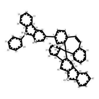 C1=Cc2ccc(-c3cnc4c(c3)c3ccccc3n4-c3ccccc3)cc2C2(c3ccccc31)c1ccccc1-c1cc3oc4ccccc4c3cc12